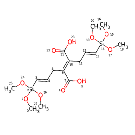 CO[Si](/C=C/C/C(C(=O)O)=C(/C/C=C/[Si](OC)(OC)OC)C(=O)O)(OC)OC